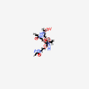 C=CC(=O)NCCCOCC(COCCCNC(=O)C=C)(COCCCNC(C)O)NC(=O)C=C